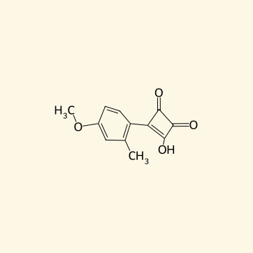 COc1ccc(-c2c(O)c(=O)c2=O)c(C)c1